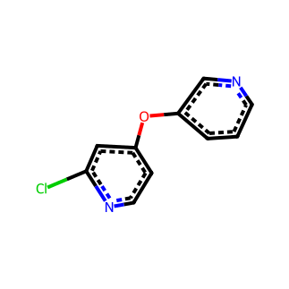 Clc1cc(Oc2cccnc2)ccn1